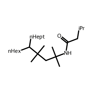 CCCCCCCC(CCCCCC)C(C)(C)CC(C)(C)NC(=O)CC(C)C